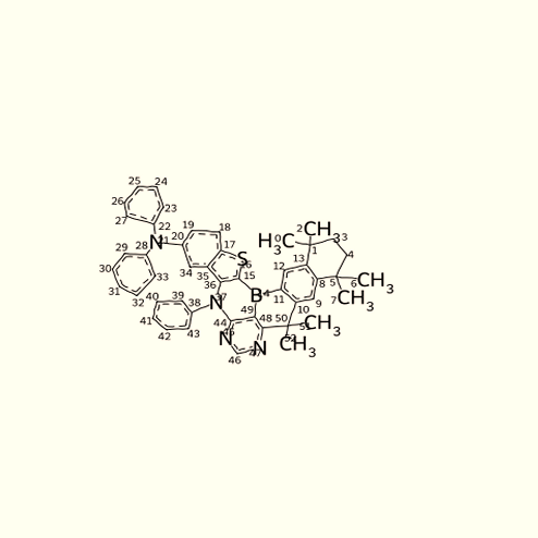 CC1(C)CCC(C)(C)c2cc3c(cc21)B1c2sc4ccc(N(c5ccccc5)c5ccccc5)cc4c2N(c2ccccc2)c2ncnc(c21)C3(C)C